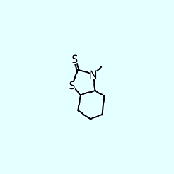 CN1C(=S)SC2CCCCC21